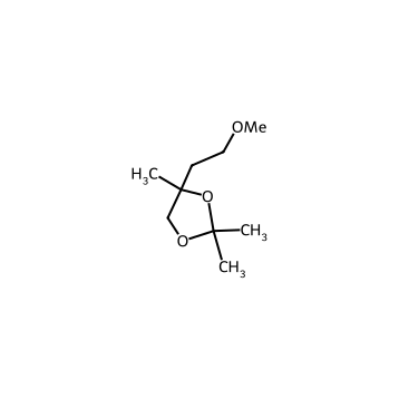 COCCC1(C)COC(C)(C)O1